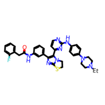 CCN1CCN(c2ccc(Nc3nccc(-c4c(-c5cccc(NC(=O)Cc6ccccc6F)c5)nc5n4CCS5)n3)cc2)CC1